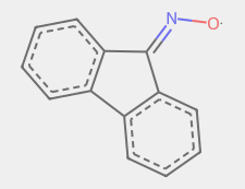 [O]N=C1c2ccccc2-c2ccccc21